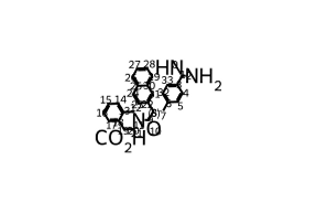 N=C(N)c1ccc(C[C@H](C(=O)N2Cc3ccccc3CC2C(=O)O)c2ccc3ccccc3c2)cc1